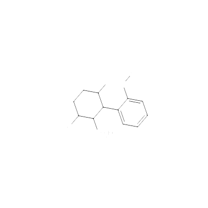 CCOC(=O)Oc1ccccc1C1C(C)CCC(C)C1C(=O)OCC